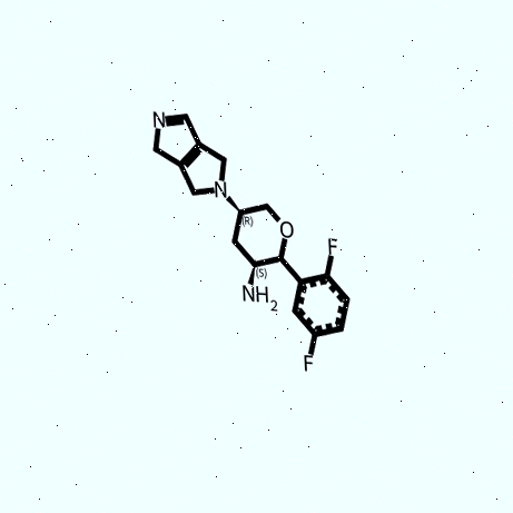 N[C@H]1C[C@@H](N2CC3=C(CN=C3)C2)COC1c1cc(F)ccc1F